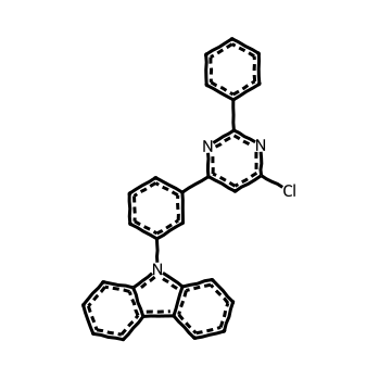 Clc1cc(-c2cccc(-n3c4ccccc4c4ccccc43)c2)nc(-c2ccccc2)n1